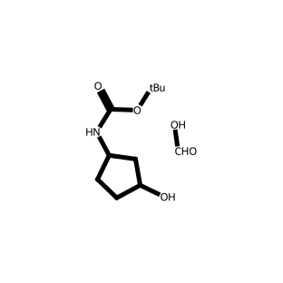 CC(C)(C)OC(=O)NC1CCC(O)C1.O=CO